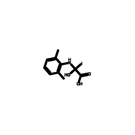 Cc1cccc(C)c1NC(O)(I)C(=O)O